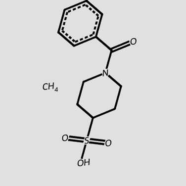 C.O=C(c1ccccc1)N1CCC(S(=O)(=O)O)CC1